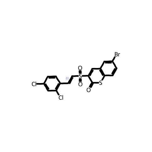 O=c1sc2ccc(Br)cc2cc1S(=O)(=O)/C=C/c1ccc(Cl)cc1Cl